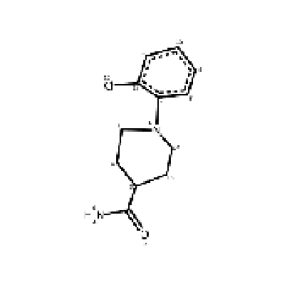 NC(=O)C1CCN(c2ccccc2Cl)CC1